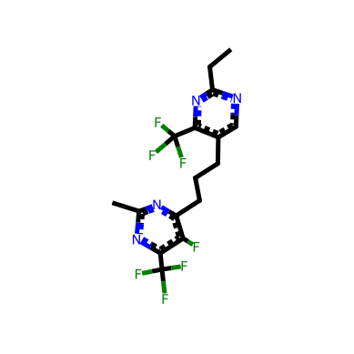 CCc1ncc(CCCc2nc(C)nc(C(F)(F)F)c2F)c(C(F)(F)F)n1